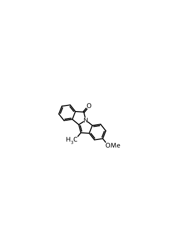 COc1ccc2c(c1)c(C)c1n2C(=O)c2ccccc2-1